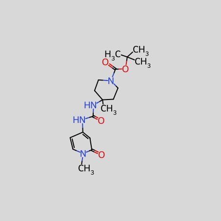 Cn1ccc(NC(=O)NC2(C)CCN(C(=O)OC(C)(C)C)CC2)cc1=O